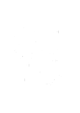 C/C=C(/C=C(/C)S)C1=C(c2cc(C)sc2C)C23c4ccccc4SC2[SiH]13